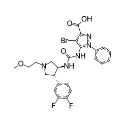 COCCN1C[C@@H](NC(=O)Nc2c(Br)c(C(=O)O)nn2-c2ccccc2)[C@H](c2ccc(F)c(F)c2)C1